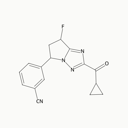 N#Cc1cccc(C2CC(F)c3nc(C(=O)C4CC4)nn32)c1